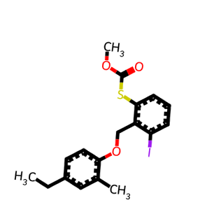 CCc1ccc(OCc2c(I)cccc2SC(=O)OC)c(C)c1